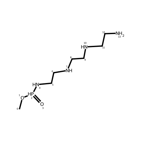 CO[PH](=O)NCCNCCNCCN